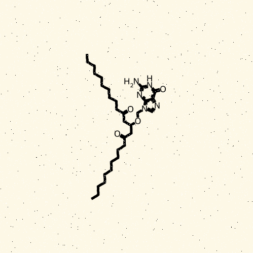 CCCCCCCCCCC(=O)CC(CC(=O)CCCCCCCCCC)OCn1cnc2c(=O)[nH]c(N)nc21